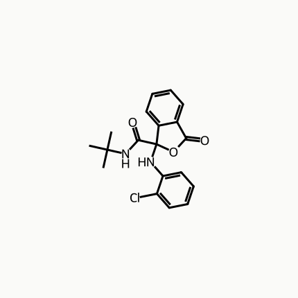 CC(C)(C)NC(=O)C1(Nc2ccccc2Cl)OC(=O)c2ccccc21